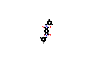 Cc1cc(C)cc(Cn2c(=O)c3cc4c(=O)n(Cc5cc(C)cc(C(F)(F)F)c5)c(=O)c4cc3c2=O)c1